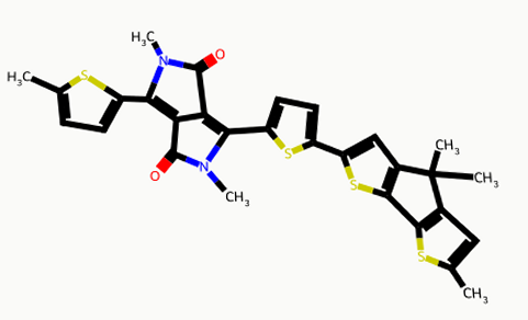 Cc1ccc(C2=C3C(=O)N(C)C(c4ccc(-c5cc6c(s5)-c5sc(C)cc5C6(C)C)s4)=C3C(=O)N2C)s1